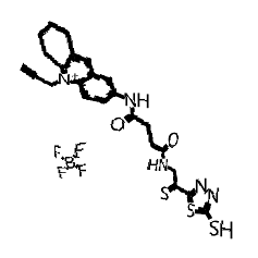 C#CC[n+]1c2c(cc3cc(NC(=O)CCC(=O)NCC(=S)c4nnc(S)s4)ccc31)CCCC2.F[B-](F)(F)F